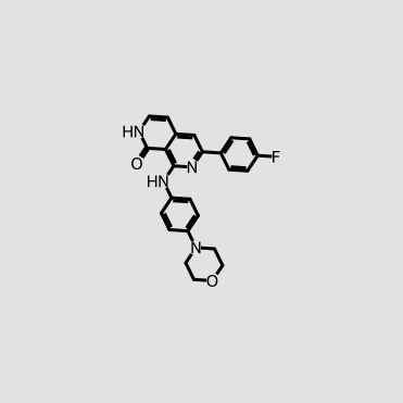 O=c1[nH]ccc2cc(-c3ccc(F)cc3)nc(Nc3ccc(N4CCOCC4)cc3)c12